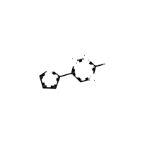 Cc1ncc(-c2cccs2)nn1